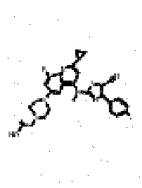 CN(c1nc(-c2ccc(F)cc2)c(C#N)s1)c1cc(C2CC2)nc2c(F)cc(N3CCN(CC(=O)O)CC3)cc12